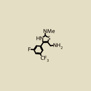 CNC1NC(c2cc(F)cc(C(F)(F)F)c2)=C(CN)S1